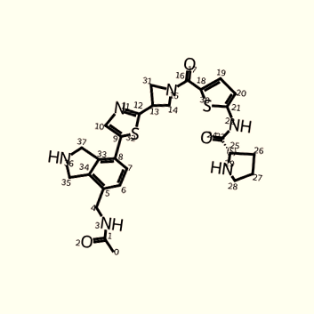 CC(=O)NCc1ccc(-c2cnc(C3CN(C(=O)c4ccc(NC(=O)[C@@H]5CCCN5)s4)C3)s2)c2c1CNC2